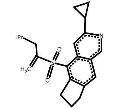 C=C(CC(C)C)S(=O)(=O)c1c2c(cc3cnc(C4CC4)cc13)CCC2